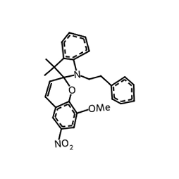 COc1cc([N+](=O)[O-])cc2c1OC1(C=C2)N(CCc2ccccc2)c2ccccc2C1(C)C